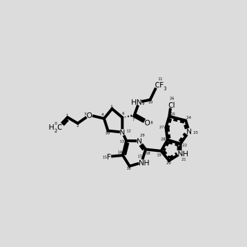 C=CCOC1C[C@H](C(=O)NCC(F)(F)F)N(C2=C(F)CNC(c3c[nH]c4ncc(Cl)cc34)=N2)C1